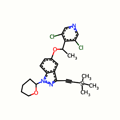 CC(Oc1ccc2c(c1)c(C#C[Si](C)(C)C)nn2C1CCCCO1)c1c(Cl)cncc1Cl